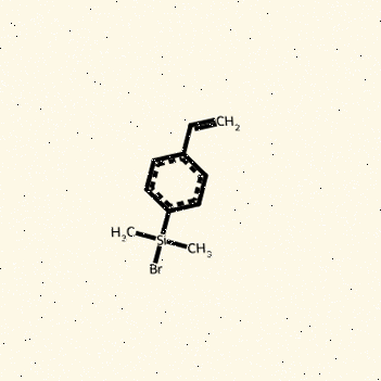 C=Cc1ccc([Si](C)(C)Br)cc1